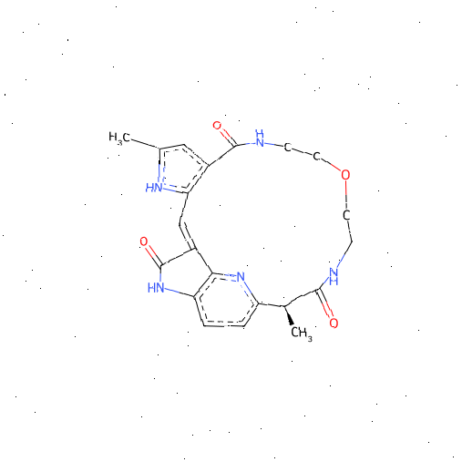 Cc1cc2c([nH]1)/C=C1\C(=O)Nc3ccc(nc31)[C@H](C)C(=O)NCCOCCNC2=O